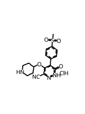 CS(=O)(=O)c1ccc(-c2c(OC3CCNCC3)c(C#N)n[nH]c2=O)cc1.Cl